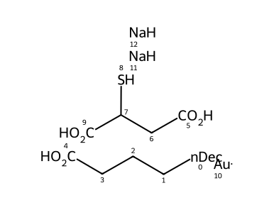 CCCCCCCCCCCCCC(=O)O.O=C(O)CC(S)C(=O)O.[Au].[NaH].[NaH]